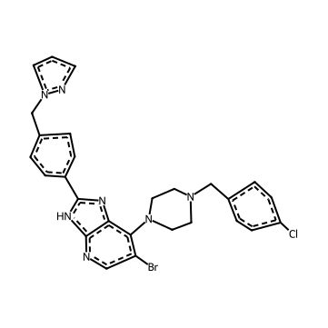 Clc1ccc(CN2CCN(c3c(Br)cnc4[nH]c(-c5ccc(Cn6cccn6)cc5)nc34)CC2)cc1